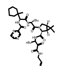 C=CCNC(=O)C(=O)C(CCCC)NC(=O)[C@@H]1[C@@H]2[C@H](CN1C(=O)[C@@H](NC(=O)[C@@H](NC(=O)c1cnccn1)C1(C)CCCCC1)C(C)(C)C)C2(C)C